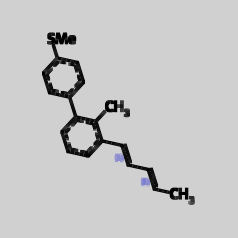 C/C=C/C=C/c1cccc(-c2ccc(SC)cc2)c1C